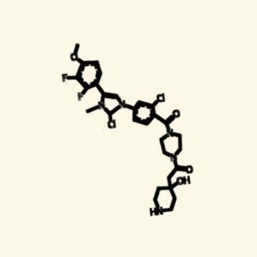 COc1ccc(C2=CN(c3ccc(C(=O)N4CCN(C(=O)CC5(O)CCNCC5)CC4)c(Cl)c3)C(Cl)N2C)c(F)c1F